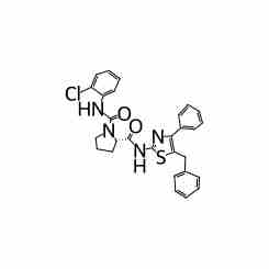 O=C(Nc1nc(-c2ccccc2)c(Cc2ccccc2)s1)[C@@H]1CCCN1C(=O)Nc1ccccc1Cl